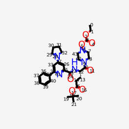 CCOC(=O)ON1CCN(C(=O)[C@H](CCC(=O)OC(C)(C)C)NC(=O)c2cc(N3CCCC3)cc(-c3ccccc3)n2)CC1